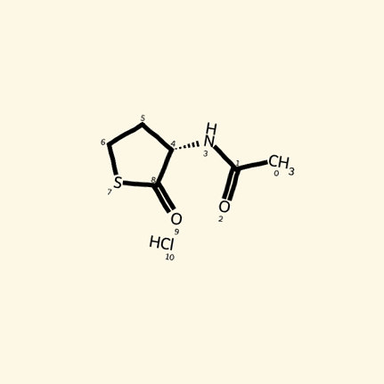 CC(=O)N[C@H]1CCSC1=O.Cl